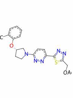 CC(=O)OCc1nnc(-c2ccc(N3CC[C@H](Oc4ccccc4C(F)(F)F)C3)nn2)s1